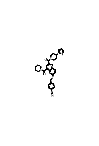 N#Cc1ccc(COc2ccc3nc(C(=O)N4CCC(n5cccn5)CC4)cc(C(=O)N4CCCCC4)c3c2)cc1